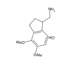 COc1ccc2c(c1OC)CCC2CN.Cl